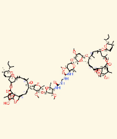 CCC(C)[C@H]1O[C@]2(C=C[C@@H]1C)C[C@@H]1C[C@@H](C/C=C(\C)[C@@H](O[C@H]3C[C@H](OC)[C@@H](O[C@H]4C[C@H](OC)[C@H](NC(=O)NCNC(=O)N[C@@H]5[C@H](C)O[C@@H](O[C@H]6[C@H](C)O[C@@H](O[C@@H]7/C(C)=C/C[C@@H]8C[C@@H](C[C@]9(C=C[C@H](C)[C@@H](C(C)CC)O9)O8)OC(=O)[C@@H]8C=C(C)[C@@H](O)[C@H]9OC/C(=C\C=C\[C@@H]7C)[C@]98O)C[C@@H]6OC)C[C@@H]5OC)[C@H](C)O4)[C@H](C)O3)[C@@H](C)/C=C/C=C3\CO[C@@H]4[C@H](O)C(C)=C[C@@H](C(=O)O1)[C@]34O)O2